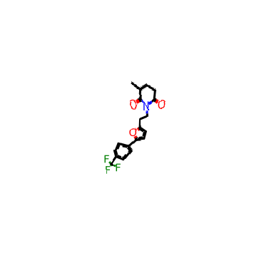 CC1CCC(=O)N(CCc2ccc(-c3ccc(C(F)(F)F)cc3)o2)C1=O